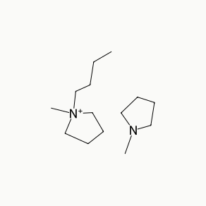 CCCC[N+]1(C)CCCC1.CN1CCCC1